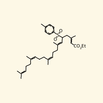 CCOC(=O)C=C(C)CC(C=C(C)CCC=C(C)CCC=C(C)CCC=C(C)C)S(=O)(=O)c1ccc(C)cc1